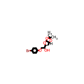 CC1(C)OC2O[C@H]([C@H](O)COc3ccc(Br)cc3)C[C@H]2O1